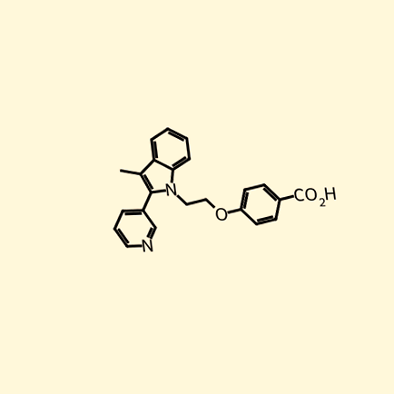 Cc1c(-c2cccnc2)n(CCOc2ccc(C(=O)O)cc2)c2ccccc12